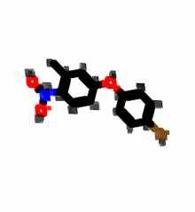 Cc1cc(Oc2ccc(Br)cc2)ccc1[N+](=O)[O-]